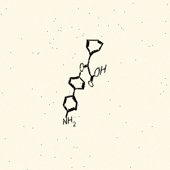 Nc1ccc(-c2ccc(OC(C(=O)O)c3ccccc3)cc2)cc1